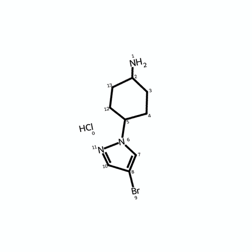 Cl.NC1CCC(n2cc(Br)cn2)CC1